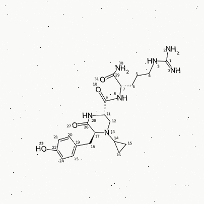 N=C(N)NCCC[C@H](NC(=O)[C@@H]1CN(C2CC2)[C@@H](Cc2ccc(O)cc2)C(=O)N1)C(N)=O